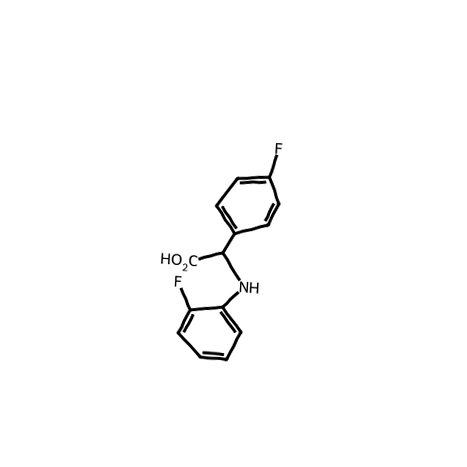 O=C(O)C(Nc1ccccc1F)c1ccc(F)cc1